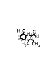 CCN(CC)C(=Nc1ccccc1C)C(Cl)Cl